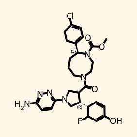 COC(=O)N1CCN(C(=O)C2CN(c3ccc(N)nn3)C[C@H]2C2C=CC(O)=CC2F)CCC[C@H]1C1=CC=C(Cl)CC1